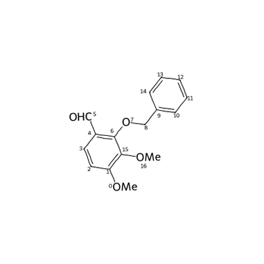 COc1ccc(C=O)c(OCc2ccccc2)c1OC